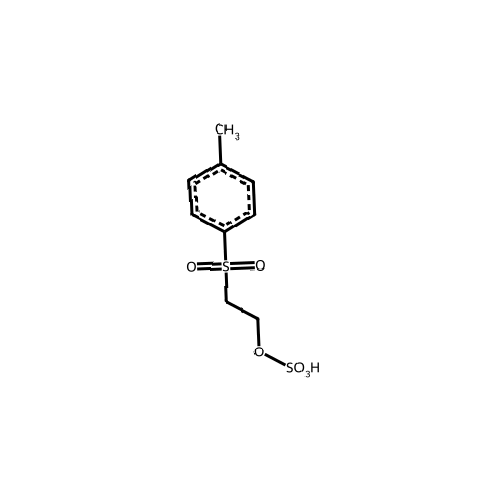 Cc1ccc(S(=O)(=O)CCOS(=O)(=O)O)cc1